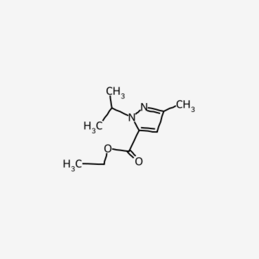 CCOC(=O)c1cc(C)nn1C(C)C